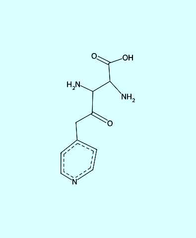 NC(C(=O)O)C(N)C(=O)Cc1ccncc1